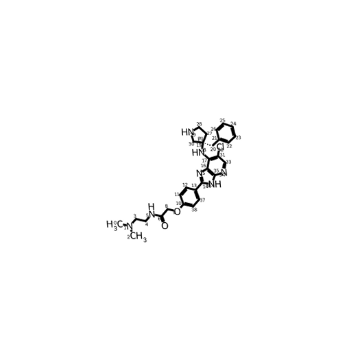 CN(C)CCNC(=O)COc1ccc(-c2nc3c(N[C@]4(Cc5ccccc5)CCNC4)c(Cl)cnc3[nH]2)cc1